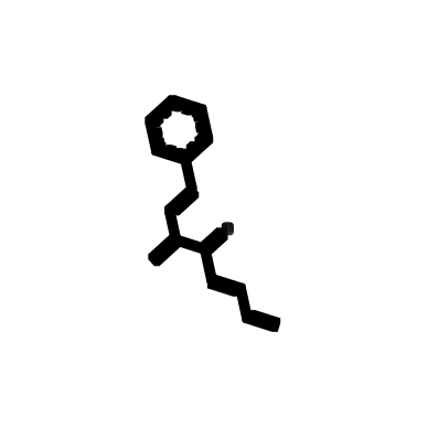 C=CC=CC(=O)C(=C)C=Cc1ccccc1